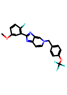 COc1ccc(F)c(-c2nc3ccn(Cc4ccc(OC(F)(F)F)cc4)cc-3n2)c1